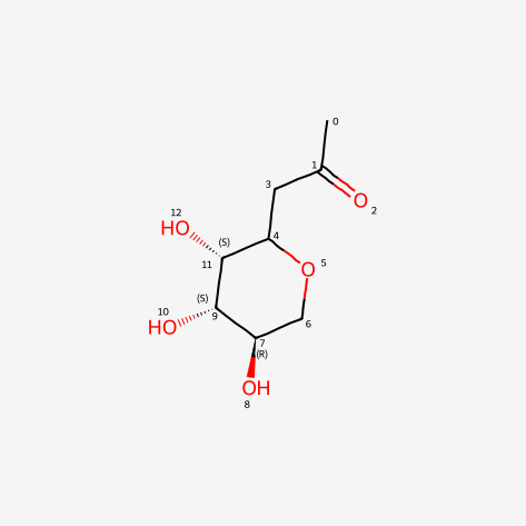 CC(=O)CC1OC[C@@H](O)[C@H](O)[C@@H]1O